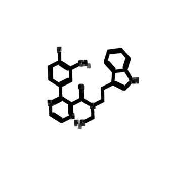 Cc1cc(-c2nccnc2C(=O)N(CCc2c[nH]c3ccccc23)CC(F)(F)F)ccc1F